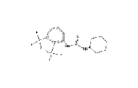 FC(F)(F)c1cccc(NC(=S)NC2CCCCC2)c1C(F)(F)F